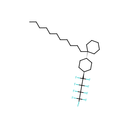 CCCCCCCCCCCC1([C@H]2CC[C@H](C(F)(F)C(F)(F)C(F)(F)C(F)(F)F)CC2)CCCCC1